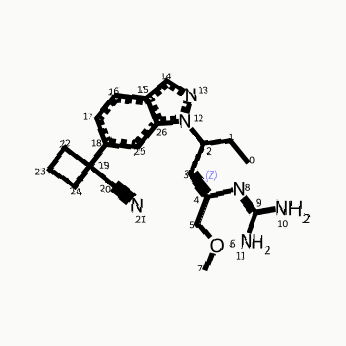 CCC(/C=C(/COC)N=C(N)N)n1ncc2ccc(C3(C#N)CCC3)cc21